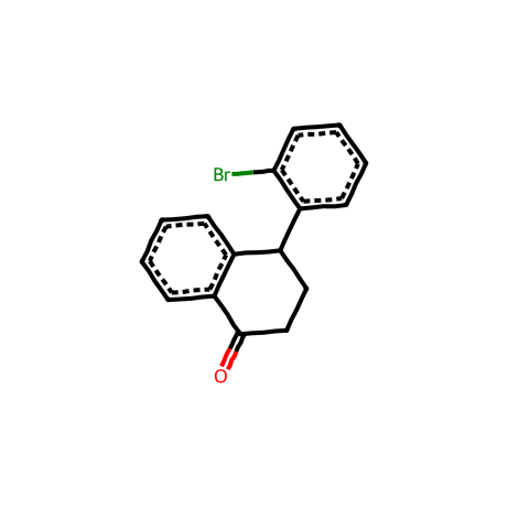 O=C1CCC(c2ccccc2Br)c2ccccc21